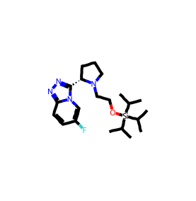 CC(C)[Si](OCCN1CCC[C@H]1c1nnc2ccc(F)cn12)(C(C)C)C(C)C